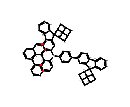 c1ccc(-c2cccc3cccc(-c4ccccc4N(c4ccc(-c5ccc6c(c5)C5(c7ccccc7-6)C6CC7CC8CC5C786)cc4)c4ccc5c(c4)C4(c6ccccc6-5)C5CC6CC7CC4C675)c23)cc1